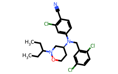 CCC(CC)N1C[C@@H](N(Cc2cc(Cl)ccc2Cl)c2ccc(C#N)c(Cl)c2)CCO1